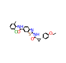 CCOc1ccc([C@@H]2C[C@H]2C(=O)Nc2nc3ccc(C(=O)Nc4c(C)cccc4Cl)cc3s2)cc1